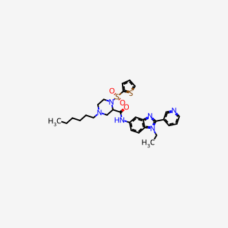 CCCCCCN1CCN(S(=O)(=O)c2cccs2)C(C(=O)Nc2ccc3c(c2)nc(-c2cccnc2)n3CC)C1